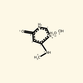 CNc1cc(=O)[nH]cn1.Cl.O